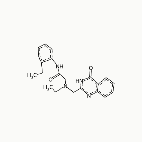 CCc1ccccc1NC(=O)CN(CC)Cc1nc2ccccc2c(=O)[nH]1